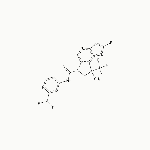 CC1(C(F)(F)F)CN(C(=O)Nc2ccnc(C(F)F)c2)c2cnc3cc(F)nn3c21